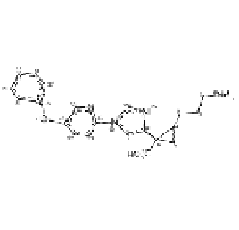 NCCCC1CC1(C(=O)O)c1cn(-c2ccc(Oc3ccccc3)cc2)cn1